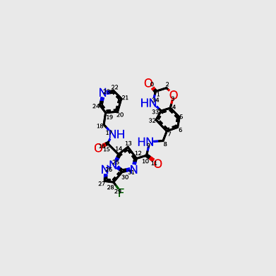 O=C1COc2ccc(CNC(=O)c3cc(C(=O)NCc4cccnc4)n4ncc(F)c4n3)cc2N1